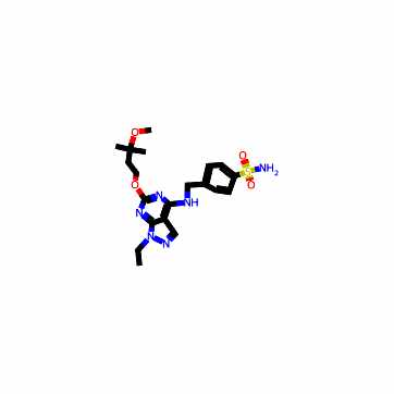 CCn1ncc2c(NCc3ccc(S(N)(=O)=O)cc3)nc(OCCC(C)(C)OC)nc21